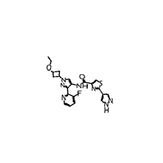 CCOC1CC(n2cc(NC(=O)c3csc(-c4cn[nH]c4)n3)c(-c3ncccc3F)n2)C1